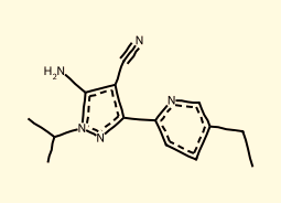 CCc1ccc(-c2nn(C(C)C)c(N)c2C#N)nc1